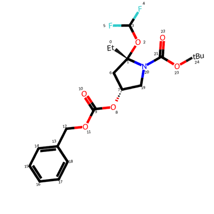 CC[C@]1(OC(F)F)C[C@@H](OC(=O)OCc2ccccc2)CN1C(=O)OC(C)(C)C